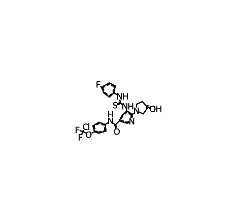 O=C(Nc1ccc(OC(F)(F)Cl)cc1)c1cnc(N2CC[C@@H](O)C2)c(NC(=S)Nc2ccc(F)cc2)c1